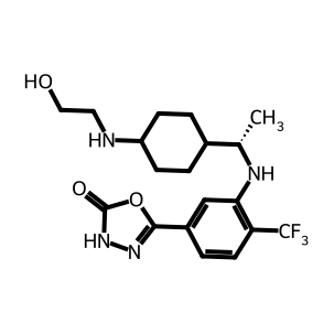 C[C@H](Nc1cc(-c2n[nH]c(=O)o2)ccc1C(F)(F)F)C1CCC(NCCO)CC1